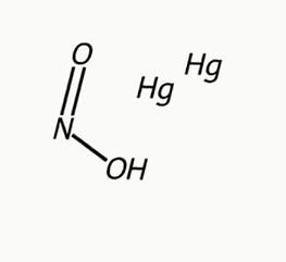 O=NO.[Hg].[Hg]